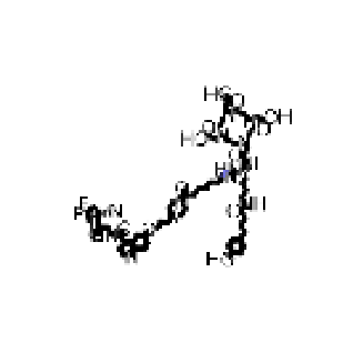 N#C[C@H]1CC(F)(F)CN1C(=O)CNC(=O)c1ccnc2ccc(OCCCN3CCN(C(=O)CCCCC/C=N/N[C@H](CCCCNC(=O)CCCc4ccc(O)cc4)NC(=O)CN4CCN(CC(=O)O)CCN(CC(=O)O)CCN(CC(=O)O)CC4)CC3)cc12